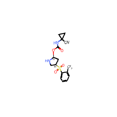 N#CC1(NC(=O)O[C@H]2C[C@@H](S(=O)(=O)c3ccccc3C(F)(F)F)CN2)CC1